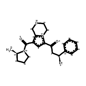 CC[C@@H](CC(=O)c1cc(C(=O)N2CCC[C@H]2C)c2n1CCOC2)c1ccccc1